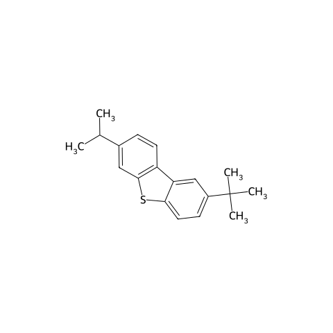 CC(C)c1ccc2c(c1)sc1ccc(C(C)(C)C)cc12